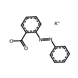 O=C([O-])c1ccccc1N=Nc1ccccc1.[K+]